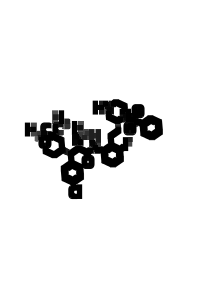 CC1(C)CC([C@H](c2ccc(Cl)cc2)[C@H](N)C(=O)Nc2cccc(F)c2CC[C@H]2CNCCN2S(=O)(=O)c2ccccc2)CCO1